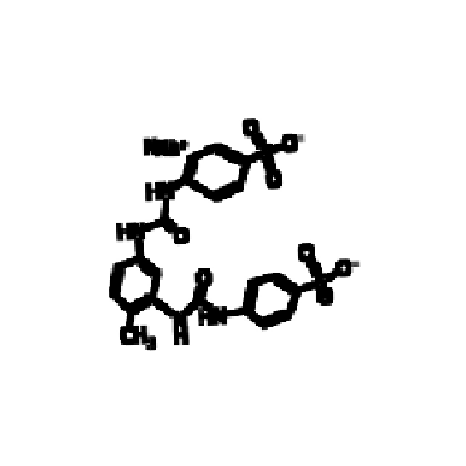 Cc1ccc(NC(=O)Nc2ccc(S(=O)(=O)[O-])cc2)cc1NC(=O)Nc1ccc(S(=O)(=O)[O-])cc1.[Na+].[Na+]